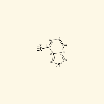 CCc1cccc2cs[c]c12